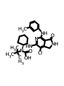 Cc1cccc(Nc2nc(N[C@@H]3CCCC[C@@H]3N(C(=O)O)C(C)(C)C)c(Cl)c3c2C(=O)NC3)c1